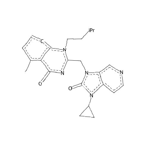 Cc1cccc2c1c(=O)nc(Cn1c(=O)n(C3CC3)c3ccncc31)n2CCC(C)C